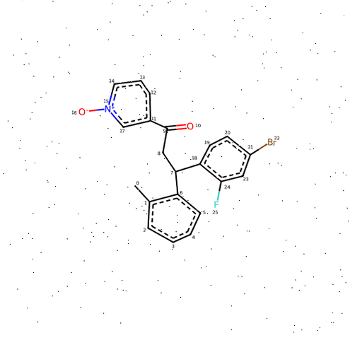 Cc1ccccc1C(CC(=O)c1ccc[n+]([O-])c1)c1ccc(Br)cc1F